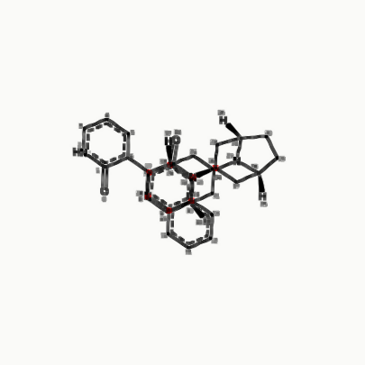 O=c1[nH]cccc1-c1nc2ccccc2n([C@@H]2C[C@H]3CC[C@@H](C2)N3C2C[C@H]3CCC[C@@H](C2)C3)c1=O